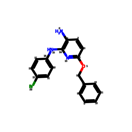 Nc1ccc(OCc2ccccc2)nc1Nc1ccc(Br)cc1